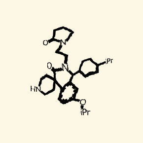 CC(C)Oc1ccc2c(c1)C(C1CCC(C(C)C)CC1)N(CCN1CCCCC1=O)C(=O)C21CCNCC1